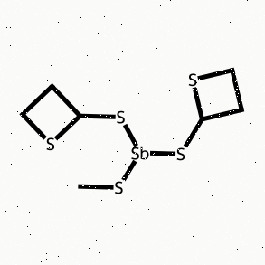 C[S][Sb]([S]C1CCS1)[S]C1CCS1